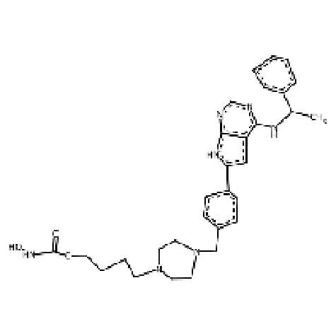 CC(Nc1ncnc2[nH]c(-c3ccc(CN4CCN(CCCCCC(=O)NO)CC4)cc3)cc12)c1ccccc1